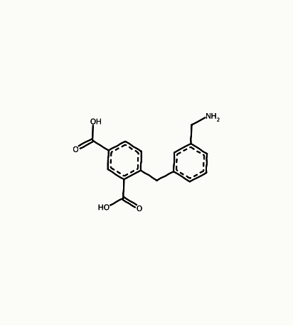 NCc1cccc(Cc2ccc(C(=O)O)cc2C(=O)O)c1